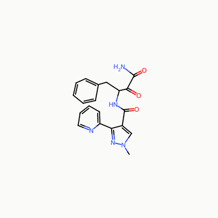 Cn1cc(C(=O)NC(Cc2ccccc2)C(=O)C(N)=O)c(-c2ccccn2)n1